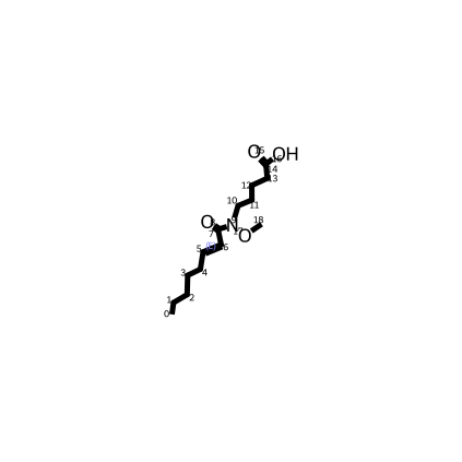 CCCCC/C=C/C(=O)N(CCCCC(=O)O)OC